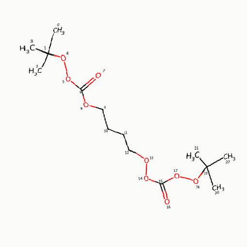 CC(C)(C)OOC(=O)OCCCCOOC(=O)OOC(C)(C)C